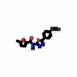 COc1ccc(-c2nnc(NC(=O)c3ccc(C)o3)s2)cc1